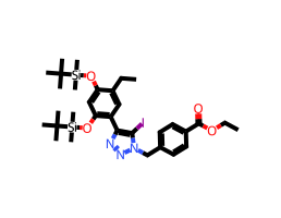 CCOC(=O)c1ccc(Cn2nnc(-c3cc(CC)c(O[Si](C)(C)C(C)(C)C)cc3O[Si](C)(C)C(C)(C)C)c2I)cc1